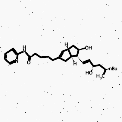 CCCC[C@H](C)C[C@H](O)/C=C/[C@@H]1[C@H]2CC(CCCCC(=O)Nc3ccccn3)=C[C@H]2C[C@H]1O